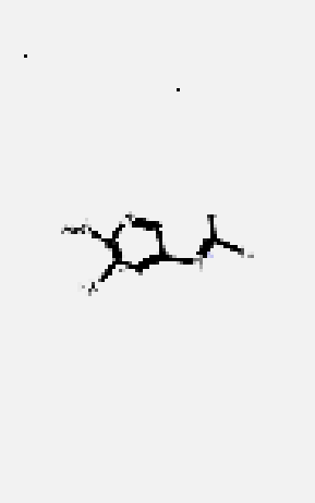 COc1ncc(/N=C(\C)I)cc1C(F)(F)F